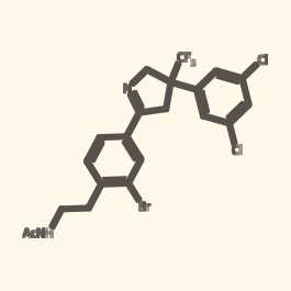 CC(=O)NCCc1ccc(C2=NCC(c3cc(Cl)cc(Cl)c3)(C(F)(F)F)C2)cc1Br